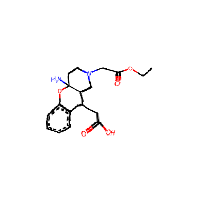 CCOC(=O)CN1CCC2(N)Oc3ccccc3C(CC(=O)O)C2C1